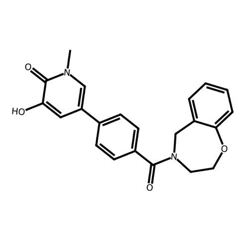 Cn1cc(-c2ccc(C(=O)N3CCOc4ccccc4C3)cc2)cc(O)c1=O